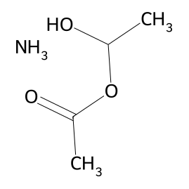 CC(=O)OC(C)O.N